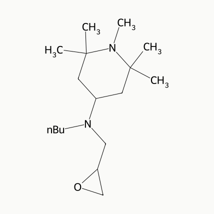 CCCCN(CC1CO1)C1CC(C)(C)N(C)C(C)(C)C1